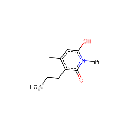 Cc1cc(O)n(C(C)C)c(=O)c1CCS(=O)(=O)O